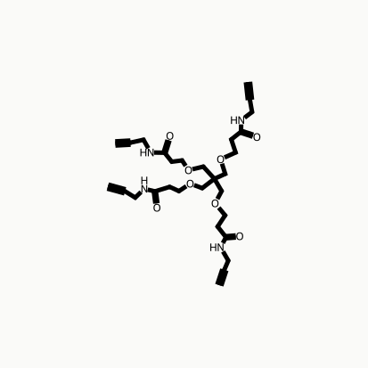 C#CCNC(=O)CCOCC(COCCC(=O)NCC#C)(COCCC(=O)NCC#C)COCCC(=O)NCC#C